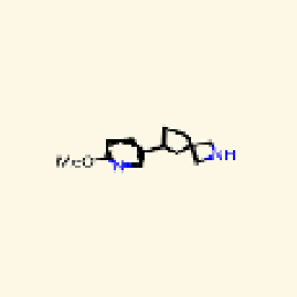 COc1ccc(C2CCC3(CNC3)C2)cn1